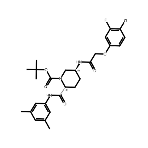 Cc1cc(C)cc(NC(=O)[C@H]2CC[C@H](NC(=O)COc3ccc(Cl)c(F)c3)CN2C(=O)OC(C)(C)C)c1